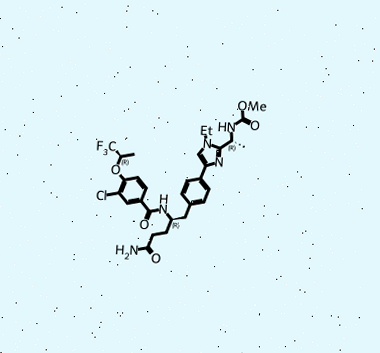 CCn1cc(-c2ccc(C[C@@H](CCC(N)=O)NC(=O)c3ccc(O[C@H](C)C(F)(F)F)c(Cl)c3)cc2)nc1[C@@H](C)NC(=O)OC